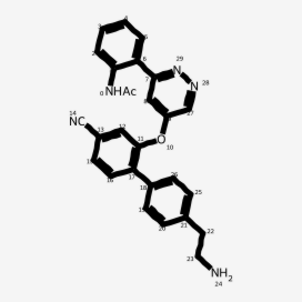 CC(=O)Nc1ccccc1-c1cc(Oc2cc(C#N)ccc2-c2ccc(CCN)cc2)cnn1